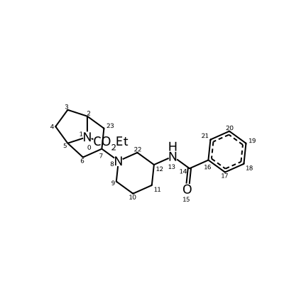 CCOC(=O)N1C2CCC1CC(N1CCCC(NC(=O)c3ccccc3)C1)C2